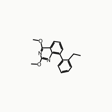 CCc1ccccc1-c1cccc2c(OC)nc(OC)nc12